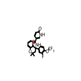 CC1(C)C[C@](NC(=O)c2ccc(=O)[nH]c2)(c2ccc(OC(F)(F)F)c(F)c2)c2ncccc2O1